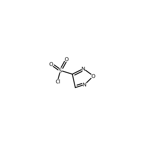 O=S(=O)(Cl)c1cnon1